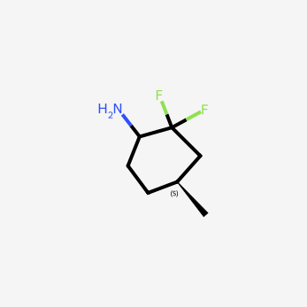 C[C@H]1CCC(N)C(F)(F)C1